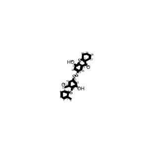 Cc1ccccc1Sc1c(O)cc(SSc2cc(O)c3sc4c(c(=O)c3c2)C=CCC4)cc1C=O